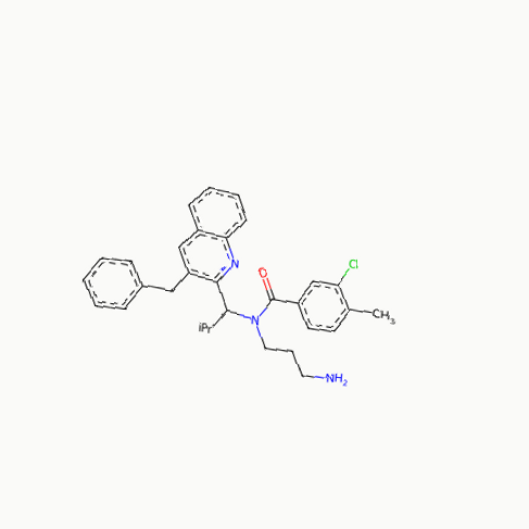 Cc1ccc(C(=O)N(CCCN)C(c2nc3ccccc3cc2Cc2ccccc2)C(C)C)cc1Cl